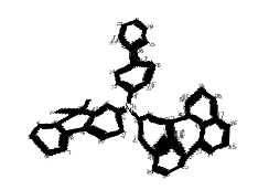 CC1(C)c2ccccc2-c2ccc(N(c3ccc(-c4ccccc4)cc3)c3cc4cccc5c6cccc7cccc(c(c3)c45)c76)cc21